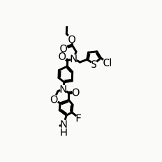 CCOC(=O)CN(Cc1ccc(Cl)s1)C(=O)c1ccc(N2COc3cc(NC)c(F)cc3C2=O)cc1